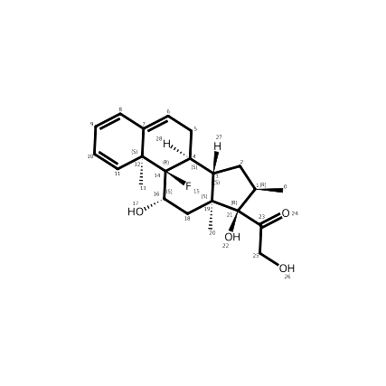 C[C@@H]1C[C@H]2[C@@H]3CC=C4C=CC=C[C@]4(C)[C@@]3(F)[C@@H](O)C[C@]2(C)[C@@]1(O)C(=O)CO